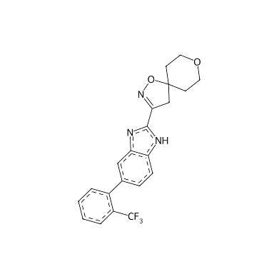 FC(F)(F)c1ccccc1-c1ccc2[nH]c(C3=NOC4(CCOCC4)C3)nc2c1